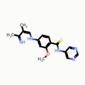 COc1cc(N/C=C(/C)C(C)=N)ccc1C(=S)Nc1cncnc1